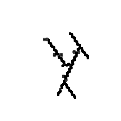 CCCCCCCCC(CCCCCC)COC(=O)CCCCCN(CCCCCC(=O)OCC(CCCCCC)CCCCCCCC)CCN(C)CCCCNC(=O)CCCCCCCO